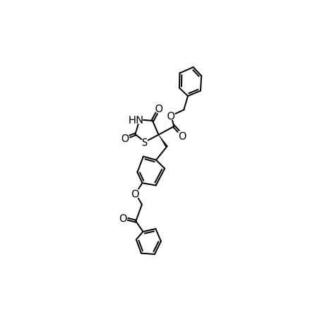 O=C1NC(=O)[C@](Cc2ccc(OCC(=O)c3ccccc3)cc2)(C(=O)OCc2ccccc2)S1